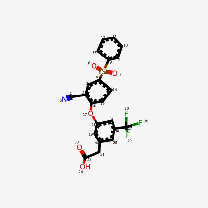 N#Cc1cc(S(=O)(=O)c2ccccc2)ccc1Oc1cc(CC(=O)O)cc(C(F)(F)F)c1